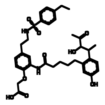 CCc1ccc(S(=O)(=O)NCCc2ccc(OCC(=O)O)c(NC(=O)CCCCc3cc(O)ccc3C(C)C(O)C(C)=O)c2)cc1